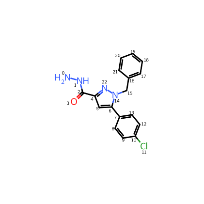 NNC(=O)c1cc(-c2ccc(Cl)cc2)n(Cc2ccccc2)n1